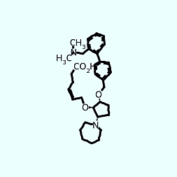 CN(C)Cc1ccccc1-c1ccc(CO[C@@H]2CC[C@H](N3CCCCCC3)[C@H]2OC/C=C\CCC(=O)O)cc1